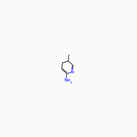 CC1C=NC(N)=CC1